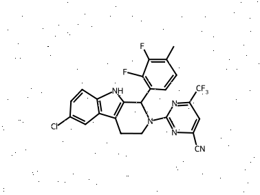 Cc1ccc(C2c3[nH]c4ccc(Cl)cc4c3CCN2c2nc(C#N)cc(C(F)(F)F)n2)c(F)c1F